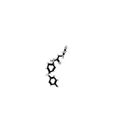 Cc1ccc(Sc2ccc(NC(=O)CN=[N+]=[N-])cc2)cc1